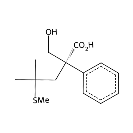 CSC(C)(C)C[C@](CO)(C(=O)O)c1ccccc1